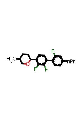 CCCc1ccc(-c2ccc(C3CCC(C)CO3)c(F)c2F)c(F)c1